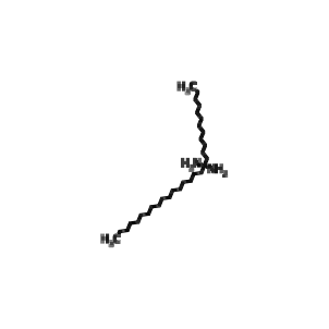 CCCCCCCCCCCCCCCCCC(N)(N)CCCCCCCCCCCC